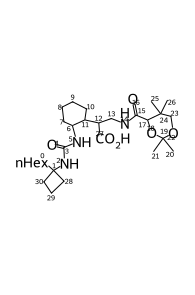 CCCCCCC1(NC(=O)NC2CCCCC2C(CNC(=O)C2OC(C)(C)OCC2(C)C)C(=O)O)CCC1